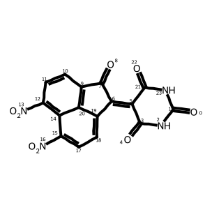 O=C1NC(=O)C(=c2c(=O)c3ccc([N+](=O)[O-])c4c([N+](=O)[O-])ccc2c43)C(=O)N1